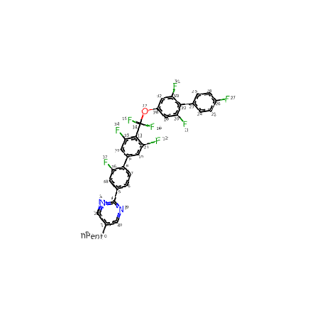 CCCCCc1cnc(-c2ccc(-c3cc(F)c(C(F)(F)Oc4cc(F)c(-c5ccc(F)cc5)c(F)c4)c(F)c3)c(F)c2)nc1